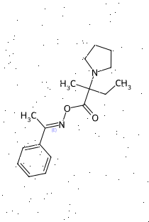 CCC(C)(C(=O)O/N=C(\C)c1ccccc1)N1CCCC1